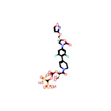 O=C(OC([PH](=O)O)P(=O)(O)O)O[C@@H](CO)C(=O)N1CC=C(c2c(F)cc(N3C[C@H](COc4ccon4)OC3=O)cc2F)CC1